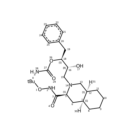 CC(C)(C)ONC(=O)[C@@H]1C[C@@H]2CCCC[C@@H]2CN1C[C@@H](O)[C@H](Cc1ccccc1)OC(N)=O